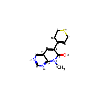 Cn1c(=O)c(C2=CCSCC2)cc2cncnc21